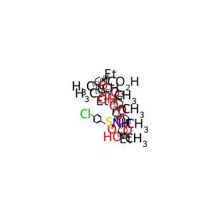 CCC(C(=O)[C@@H](C)[C@@H](O)[C@H](C)[C@@H]1O[C@@H]([C@@H](CC)C(=O)O)CC[C@@H]1C)[C@H]1O[C@]2(C=C[C@@H](NC(=O)SCc3ccc(Cl)cc3)[C@]3(CC[C@@](C)([C@H]4CC[C@](O)(CC)[C@H](C)O4)O3)O2)[C@H](C)C[C@@H]1C